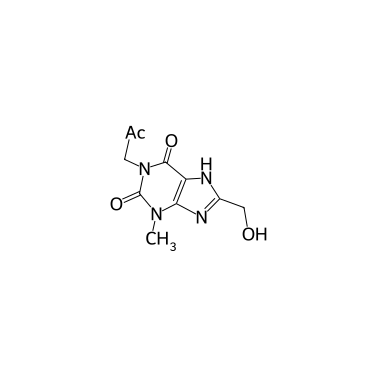 CC(=O)Cn1c(=O)c2[nH]c(CO)nc2n(C)c1=O